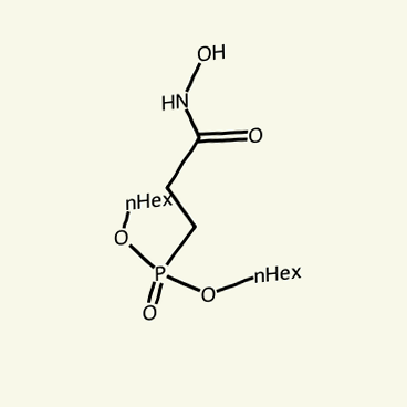 CCCCCCOP(=O)(CCC(=O)NO)OCCCCCC